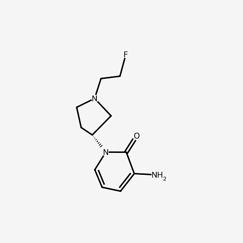 Nc1cccn([C@@H]2CCN(CCF)C2)c1=O